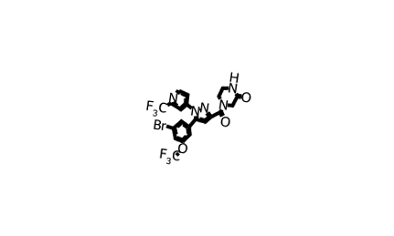 O=C1CN(C(=O)c2cc(-c3cc(Br)cc(OC(F)(F)F)c3)n(-c3ccnc(C(F)(F)F)c3)n2)CCN1